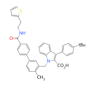 Cc1ccc(-c2ccc(C(=O)NCCc3cccs3)cc2)cc1Cn1c(C(=O)O)c(-c2ccc(C(C)(C)C)cc2)c2ccccc21